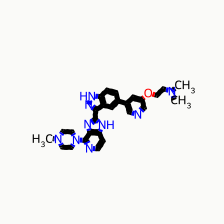 CN(C)CCOc1cncc(-c2ccc3[nH]nc(-c4nc5c(N6CCN(C)CC6)nccc5[nH]4)c3c2)c1